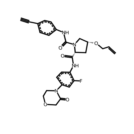 C#Cc1ccc(NC(=O)N2C[C@H](OCC=C)C[C@@H]2C(=O)Nc2ccc(N3CCOCC3=O)cc2F)cc1